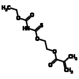 C=C(C)C(=O)OCCOC(=S)NC(=O)OCC